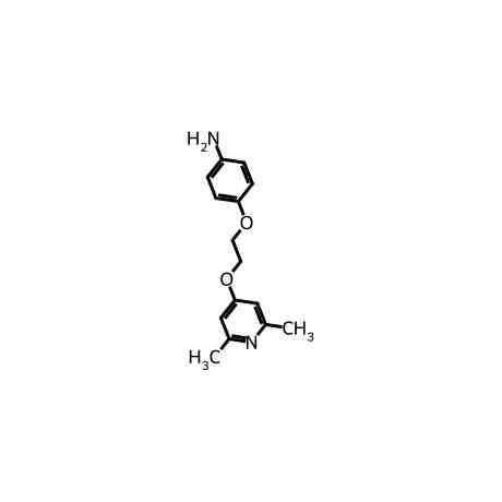 Cc1cc(OCCOc2ccc(N)cc2)cc(C)n1